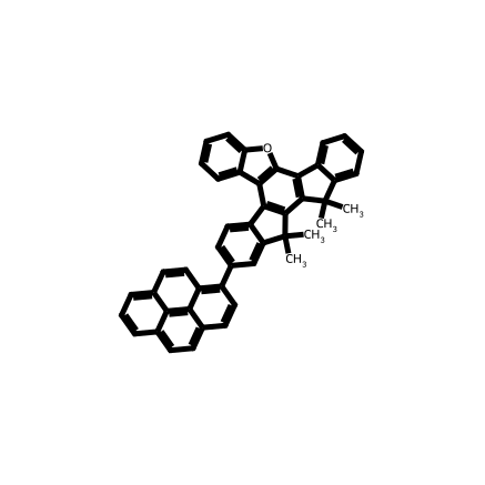 CC1(C)c2ccccc2-c2c1c1c(c3c2oc2ccccc23)-c2ccc(-c3ccc4ccc5cccc6ccc3c4c56)cc2C1(C)C